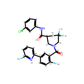 O=C(Nc1cccc(Cl)c1)C1CN(C(=O)c2cc(-c3cccc(F)n3)ccc2F)CC(F)(F)C1